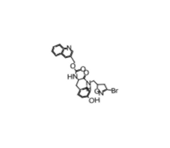 O=C(NC(Cc1ccc(O)cc1)C(=O)NCC1CC(Br)=NO1)OCc1cnc2ccccc2c1